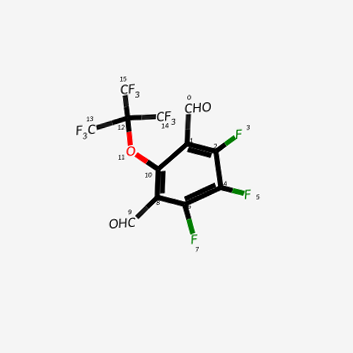 O=Cc1c(F)c(F)c(F)c(C=O)c1OC(C(F)(F)F)(C(F)(F)F)C(F)(F)F